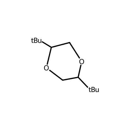 CC(C)(C)C1COC(C(C)(C)C)CO1